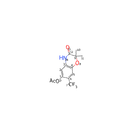 CC(=O)Oc1cc2c(cc1C(F)(F)F)OC(C)(C)C(=O)N2